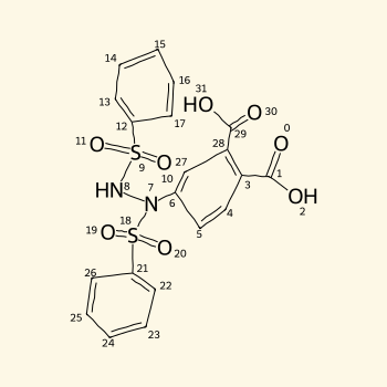 O=C(O)c1ccc(N(NS(=O)(=O)c2ccccc2)S(=O)(=O)c2ccccc2)cc1C(=O)O